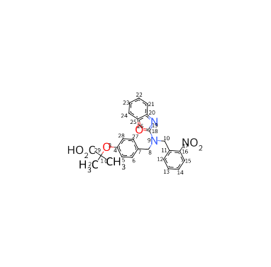 CC(C)(Oc1ccc(CN(Cc2ccccc2[N+](=O)[O-])c2nc3ccccc3o2)cc1)C(=O)O